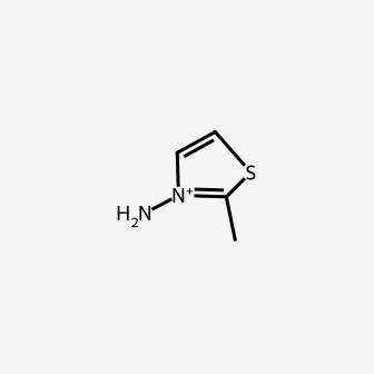 Cc1scc[n+]1N